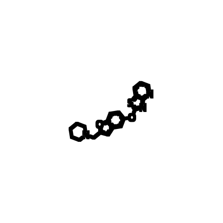 c1cnc2nc(Oc3ccc4oc(CN5CCCCC5)cc4c3)sc2c1